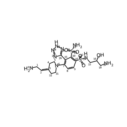 NCC=C1CCN(c2ccc(S(=O)(=O)NCC(O)CN)c(S(N)(=O)=O)c2-c2nn[nH]n2)CC1